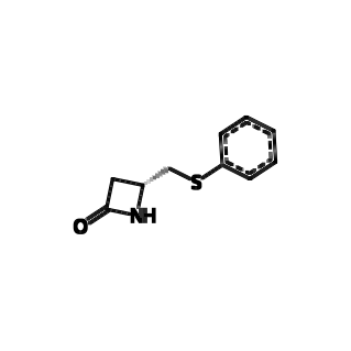 O=C1C[C@H](CSc2ccccc2)N1